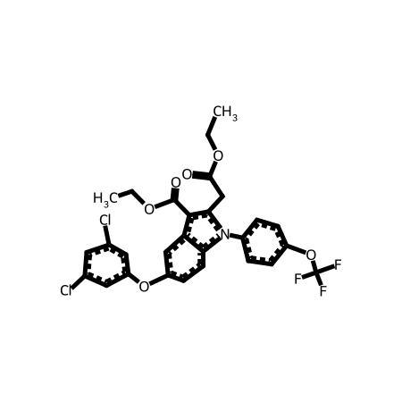 CCOC(=O)Cc1c(C(=O)OCC)c2cc(Oc3cc(Cl)cc(Cl)c3)ccc2n1-c1ccc(OC(F)(F)F)cc1